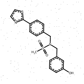 CS(=O)(=O)N(Cc1ccc(-c2nccs2)cc1)Cc1cccc(O)c1